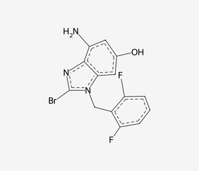 Nc1cc(O)cc2c1nc(Br)n2Cc1c(F)cccc1F